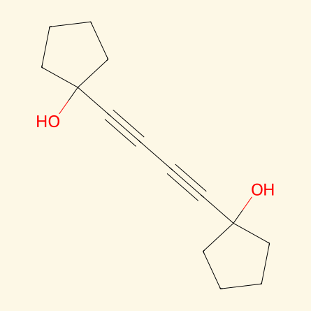 OC1(C#CC#CC2(O)CCCC2)CCCC1